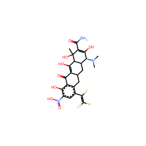 CN(C)[C@@H]1C(O)=C(C(N)=O)C(C)(O)C2C(O)=C3C(=O)c4c(O)c([N+](=O)O)cc(C(F)=C(F)F)c4CC3CC21